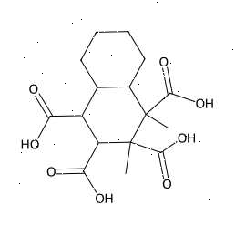 CC1(C(=O)O)C2CCCCC2C(C(=O)O)C(C(=O)O)C1(C)C(=O)O